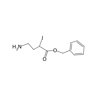 NCCC(I)C(=O)OCc1ccccc1